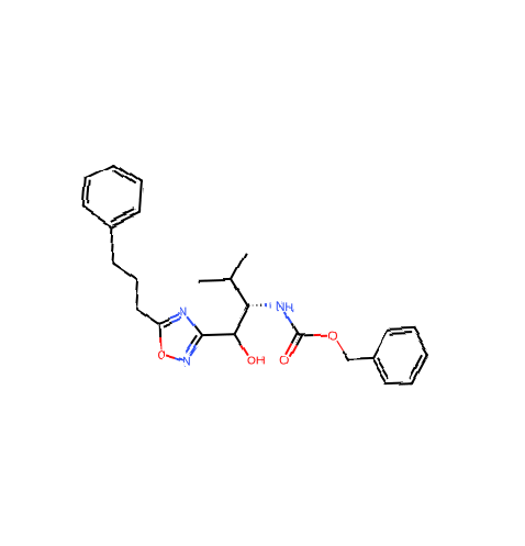 CC(C)[C@H](NC(=O)OCc1ccccc1)C(O)c1noc(CCCc2ccccc2)n1